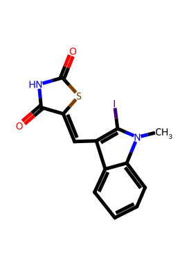 Cn1c(I)c(/C=C2\SC(=O)NC2=O)c2ccccc21